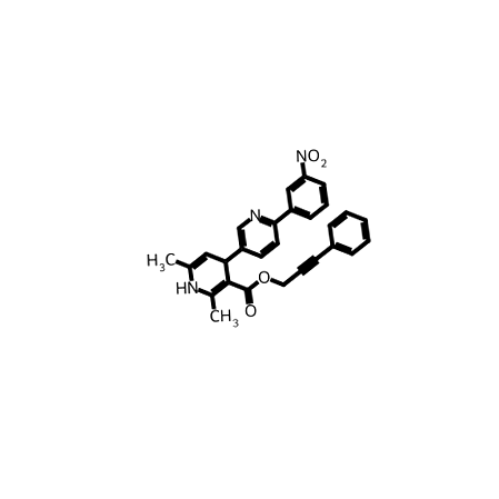 CC1=CC(c2ccc(-c3cccc([N+](=O)[O-])c3)nc2)C(C(=O)OCC#Cc2ccccc2)=C(C)N1